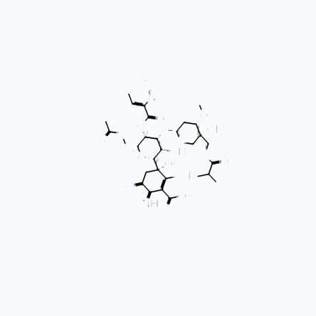 C/C=C(\N=C=S)C(=O)O[C@H]1[C@@H](O[C@H]2C[C@H](OC)[C@@](O)([C@H](C)OC(=O)C(C)C)[C@H](C)O2)[C@@H](O)[C@H]([C@@]2(O)CC(=O)C(=N)C(C(=O)O)=C2O)O[C@@H]1COC(C)=O